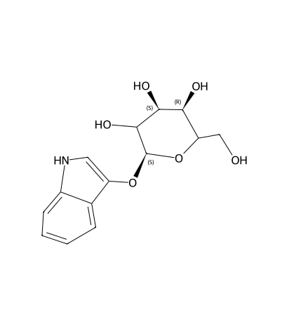 OCC1O[C@@H](Oc2c[nH]c3ccccc23)C(O)[C@@H](O)[C@H]1O